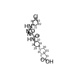 O=C(O)C[C@H]1CC[C@H](c2ccc(NC(=O)c3nnc(Nc4cccc(Cl)c4)o3)cc2)CC1